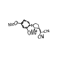 COc1ccc(N2CCC(=C(C#N)C#N)C2)c(OC)c1